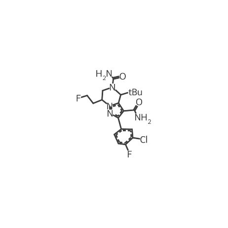 CC(C)(C)C1c2c(C(N)=O)c(-c3ccc(F)c(Cl)c3)nn2C(CCF)CN1C(N)=O